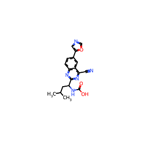 CC(C)CC(NC(=O)O)c1nc(C#N)c2cc(-c3cnco3)ccc2n1